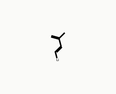 [Li][CH]=CC(=C)C